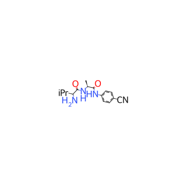 CC(C)C(N)C(=O)N[C@@H](C)C(=O)Nc1ccc(C#N)cc1